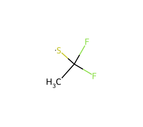 CC(F)(F)[S]